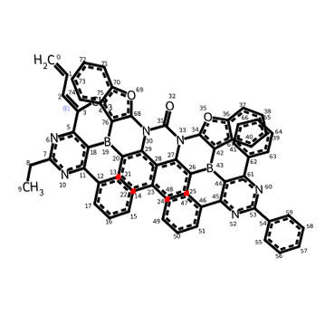 C=C/C=C(\C)c1nc(CC)nc(-c2ccccc2)c1B1c2ccc3ccc4c5c3c2N(C(=O)N5c2oc3ccccc3c2B4c2c(-c3ccccc3)nc(-c3ccccc3)nc2-c2ccccc2)c2oc3ccccc3c21